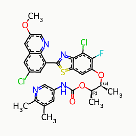 COc1cnc2c(-c3nc4c(Cl)c(F)c(O[C@@H](C)[C@@H](C)OC(=O)Nc5cnc(C)c(C)c5)cc4s3)cc(Cl)cc2c1